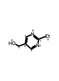 CCc1ncc(CO)cn1